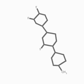 CC1CCC(C2CCC(C3CCC(F)C(F)C3)CC2F)CC1